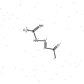 CC(=O)/C=N/NC(=N)N